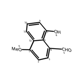 COc1ccc(C=O)c2c(O)cccc12